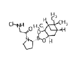 CC1(C)[C@@H]2C[C@H]3OB([C@@H]4CCCN4C(=O)CNCl)O[C@@]3(C)[C@H]1C2